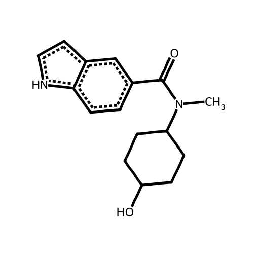 CN(C(=O)c1ccc2[nH]ccc2c1)C1CCC(O)CC1